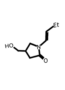 CCC=CN1CC(CO)CC1=O